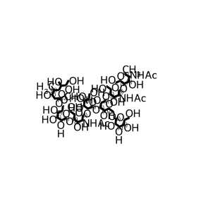 CC(=O)NC1[C@H](O[C@@H]2C(CO)O[C@@H](C)C(NC(C)=O)[C@H]2O)OC(CO)[C@@H](O[C@@H]2OC(CO[C@H]3OC(CO)[C@@H](O)[C@H](O)C3O)[C@@H](O)[C@H](O[C@H]3OC(CO)[C@@H](O)C(O)C3O[C@@H]3OC(CO)[C@H](O[C@@H]4OC(CO[C@]5(OC=O)C[C@@H](O)[C@@H](C)C(C(O)C(O)CO)O5)[C@H](O)[C@H](O)C4O)[C@H](O)C3NC(C)=O)C2O)[C@@H]1O